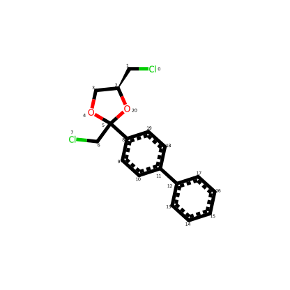 ClC[C@@H]1COC(CCl)(c2ccc(-c3ccccc3)cc2)O1